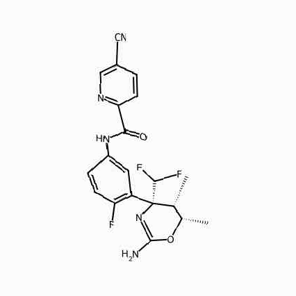 C[C@@H]1OC(N)=N[C@](c2cc(NC(=O)c3ccc(C#N)cn3)ccc2F)(C(F)F)[C@@H]1C